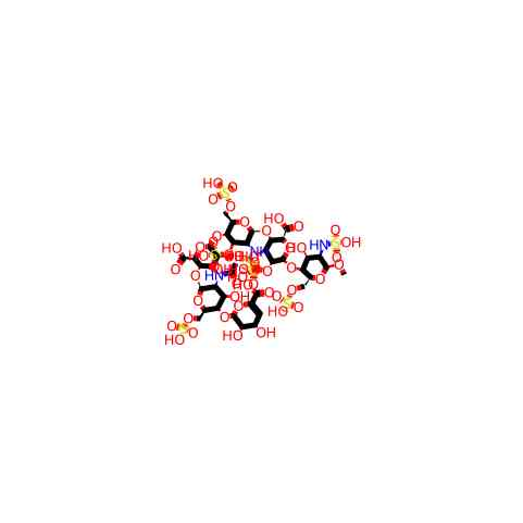 CO[C@H]1O[C@H](COS(=O)(=O)O)[C@@H](O[C@@H]2O[C@@H](C(=O)O)[C@@H](O[C@H]3O[C@H](COS(=O)(=O)O)[C@@H](OC4O[C@H](C(=O)O)[C@@H](O[C@H]5O[C@H](COS(=O)(=O)O)[C@@H](OC6OC(C(=O)O)=C[C@H](O)[C@H]6O)[C@H](O)[C@H]5NC(C)=O)[C@H](O)[C@H]4O)[C@H](OS(=O)(=O)O)[C@H]3NS(=O)(=O)O)[C@H](O)[C@H]2OS(=O)(=O)O)[C@H](O)[C@H]1NS(=O)(=O)O